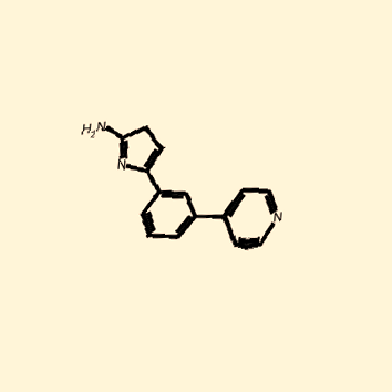 NC1=NC(c2cccc(-c3ccncc3)c2)=CC1